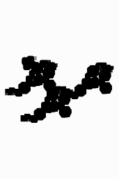 CCCOc1ccc(C(Cn2cc[n+](C(c3ccccc3)c3ccc(Br)cc3)c2)OCCc2ccc(C#N)cc2)cc1.CCCOc1ccc(C(Cn2cc[n+](C(c3ccccc3)c3ccc(Br)cc3)c2)OCCc2ccc(C#N)cc2)cc1.CCCOc1ccc(C(Cn2cc[n+](C(c3ccccc3)c3ccc(Br)cc3)c2)OCCc2ccc(C#N)cc2)cc1.O=P([O-])([O-])[O-]